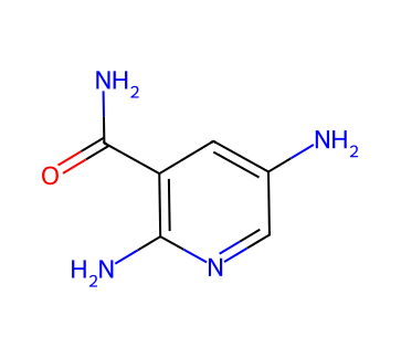 NC(=O)c1cc(N)cnc1N